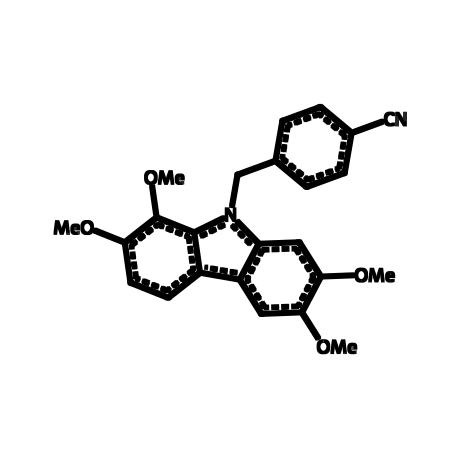 COc1cc2c3ccc(OC)c(OC)c3n(Cc3ccc(C#N)cc3)c2cc1OC